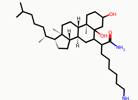 CC(C)CCC[C@@H](C)[C@H]1CC[C@H]2[C@@H]3CC(C(CCCCCCN)C(N)=O)C4(O)CC(O)CC[C@]4(C)[C@H]3CC[C@]12C